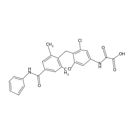 Cc1cc(C(=O)Nc2ccccc2)cc(C)c1Cc1c(Cl)cc(NC(=O)C(=O)O)cc1Cl